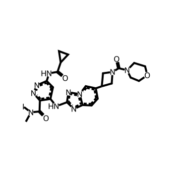 CN(I)C(=O)c1nnc(NC(=O)C2CC2)cc1Nc1nc2ccc(C3CN(C(=O)N4CCOCC4)C3)cn2n1